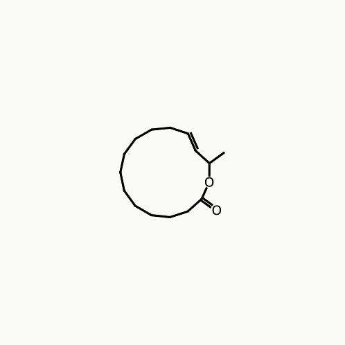 CC1/C=C/CCCCCCCCCCC(=O)O1